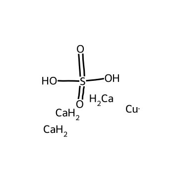 O=S(=O)(O)O.[CaH2].[CaH2].[CaH2].[Cu]